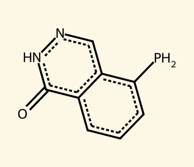 O=c1[nH]ncc2c(P)cccc12